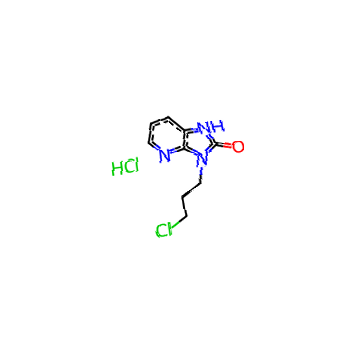 Cl.O=c1[nH]c2cccnc2n1CCCCl